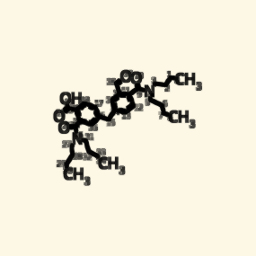 CCCCN(CCCC)C(=O)c1ccc(Cc2ccc(C(=O)O)c(C(=O)N(CCCC)CCCC)c2)cc1C=O